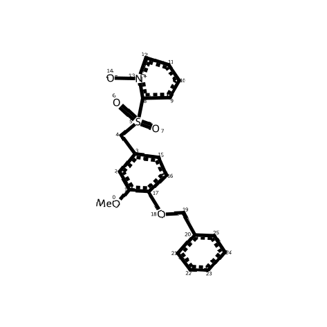 COc1cc(CS(=O)(=O)c2cccc[n+]2[O-])ccc1OCc1ccccc1